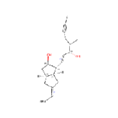 CC#CCC(C)[C@H](O)/C=C/[C@@H]1[C@H]2C/C(=C/CCCC)C[C@H]2C[C@H]1O